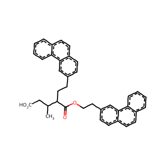 CC(CC(=O)O)C(CCc1ccc2ccc3ccccc3c2c1)C(=O)OCCc1ccc2ccc3ccccc3c2c1